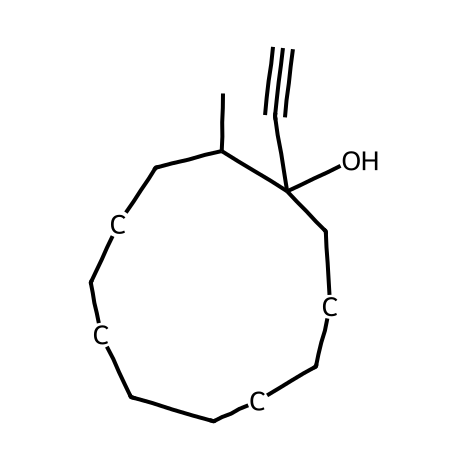 C#CC1(O)CCCCCCCCCCC1C